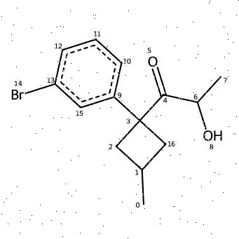 CC1CC(C(=O)C(C)O)(c2cccc(Br)c2)C1